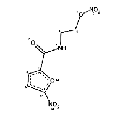 O=C(NCCO[N+](=O)[O-])c1ccc([N+](=O)[O-])o1